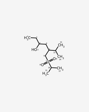 CCC(O)CC(CS(=O)(=O)C(C)C)C(C)C